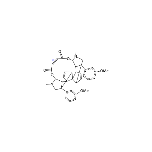 COc1cccc(C23CN(C)C4OC(=O)/C=C\C(=O)OC5C6C7C=CC(C6(c6cccc(OC)c6)CN5C)C75C(C=CC25)C43)c1